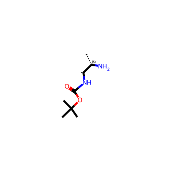 C[C@H](N)[CH]NC(=O)OC(C)(C)C